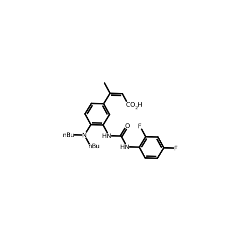 CCCCN(CCCC)c1ccc(/C(C)=C\C(=O)O)cc1NC(=O)Nc1ccc(F)cc1F